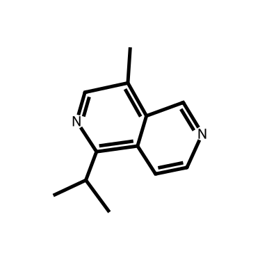 Cc1cnc(C(C)C)c2ccncc12